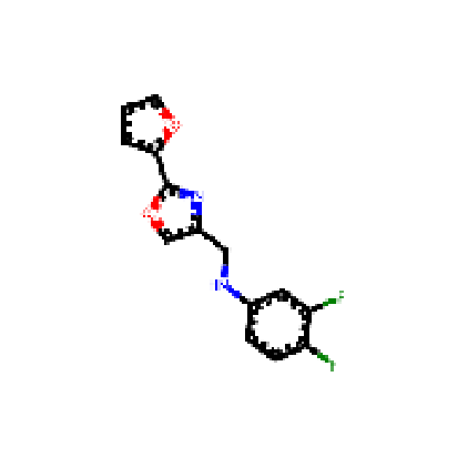 Fc1ccc(NCc2coc(-c3ccco3)n2)cc1F